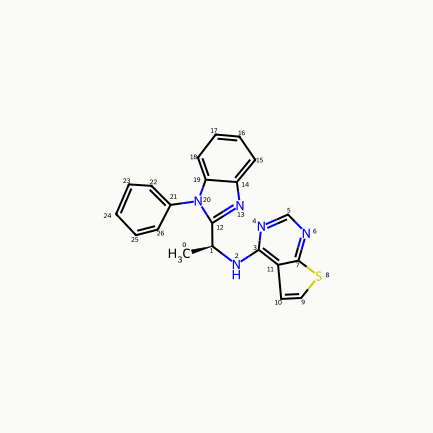 C[C@H](Nc1ncnc2sccc12)c1nc2ccccc2n1-c1ccccc1